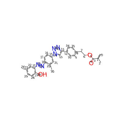 C=C(C)C(=O)OCCc1ccc(-c2cn(-c3ccc(N=Nc4cc(C)ccc4O)c(C)c3)nn2)cc1